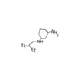 CCC(CC)CNC1CCCC(N)C1